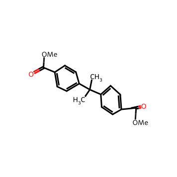 COC(=O)c1ccc(C(C)(C)c2ccc(C(=O)OC)cc2)cc1